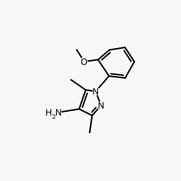 COc1ccccc1-n1nc(C)c(N)c1C